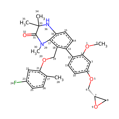 COc1cc(OC[C@@H]2CO2)ccc1-c1ccc2c(c1COc1cc(F)ccc1C)N(C)C(=O)C(C)(C)N2